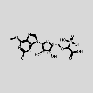 COc1nc(Cl)nc2c1ncn2[C@@H]1O[C@H](COC(C(=O)O)P(=O)(O)O)[C@H](O)[C@H]1O